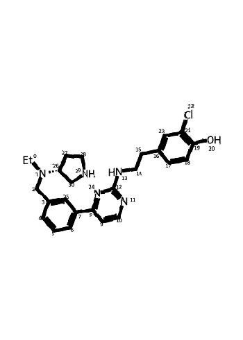 CCN(Cc1cccc(-c2ccnc(NCCc3ccc(O)c(Cl)c3)n2)c1)[C@@H]1CCNC1